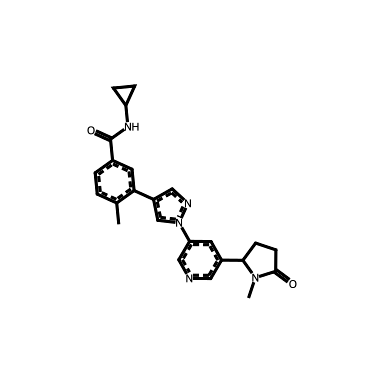 Cc1ccc(C(=O)NC2CC2)cc1-c1cnn(-c2cncc(C3CCC(=O)N3C)c2)c1